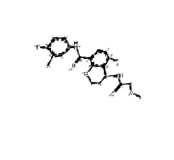 COCC(=O)N[C@H]1CCOc2c(C(=O)Nc3ccc(F)c(C)c3)ccc(F)c21